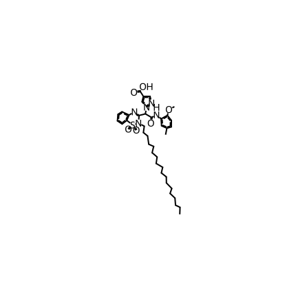 CCCCCCCCCCCCCCCCCCN1C(C(C(=O)Nc2cc(C)ccc2OC)n2cc(C(=O)O)cn2)=Nc2ccccc2S1(=O)=O